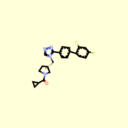 O=C(C1CC1)N1CC[C@H](Cn2cnnc2-c2ccc(-c3ccc(F)cc3F)cc2)C1